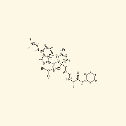 CO[C@](C#N)(COCN[C@@H](C)C(=O)OC1CCOCC1)[C@@H](OC(=O)C(C)C)[C@@H](OC(=O)C(C)C)c1ccc2c(/N=C/N(C)C)ncnn12